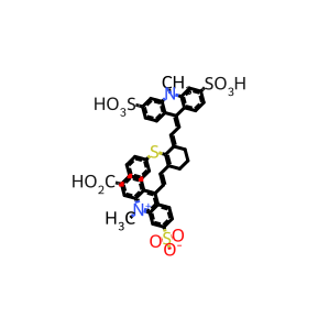 CN1c2cc(S(=O)(=O)O)ccc2C(=C/C=C2\CCCC(/C=C/c3c4ccccc4[n+](C)c4cc(S(=O)(=O)[O-])ccc34)=C2Sc2ccc(CC(=O)O)cc2)c2ccc(S(=O)(=O)O)cc21